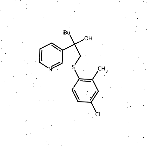 CCC(C)C(O)(CSc1ccc(Cl)cc1C)c1cccnc1